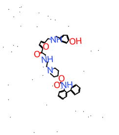 O=C(Nc1ccccc1-c1ccccc1)OC1CCN(CCNCC(=O)c2ccc(CNCc3ccc(O)cc3)o2)CC1